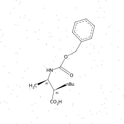 CCCC[C@@H](C(=O)O)[C@@H](C)NC(=O)OCc1ccccc1